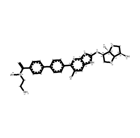 C=C(c1ccc(-c2ccc(-c3nc4nc(O[C@@H]5COC6[C@H](O)CO[C@@H]65)[nH]c4cc3Cl)cc2)cc1)N(CCN)C(C)C